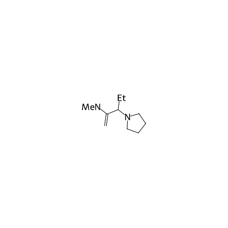 C=C(NC)C(CC)N1CCCC1